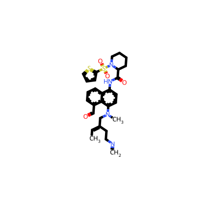 C=NCC/C(=C\C)CN(C)c1ccc(NC(=O)C2CCCCN2S(=O)(=O)c2cccs2)c2cccc(C=O)c12